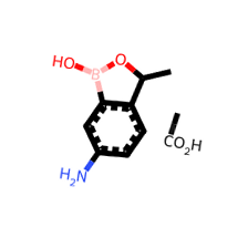 CC(=O)O.CC1OB(O)c2cc(N)ccc21